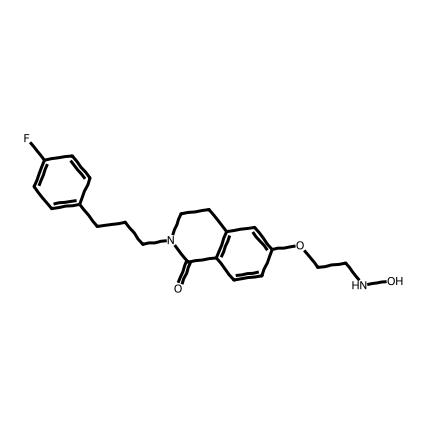 O=C1c2ccc(OCCNO)cc2CCN1CCCc1ccc(F)cc1